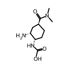 CN(C)C(=O)[C@H]1CC[C@H](NC(=O)O)[C@H](N)C1